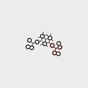 Cc1cc(C)c(Cc2ccc(N(c3ccccc3)c3cccc4ccccc34)cc2)c(B(c2c(C)c(C)cc(C)c2Cc2ccc(N(c3ccccc3)c3cccc4ccccc34)cc2)c2c(C)c(C)cc(C)c2Cc2ccc(N(c3ccccc3)c3cccc4ccccc34)cc2)c1C